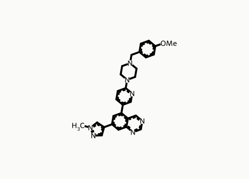 COc1ccc(CN2CCN(c3ccc(-c4cc(-c5cnn(C)c5)cc5ncncc45)cn3)CC2)cc1